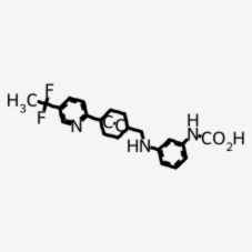 CC(F)(F)c1ccc(C23CCC(CNc4cccc(NC(=O)O)c4)(CC2)CC3)nc1